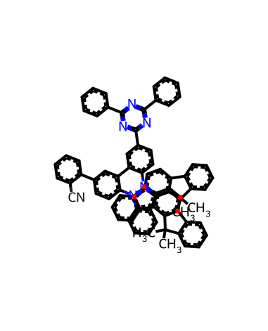 CC1(C)c2ccccc2-c2ccc3c(c21)c1ccccc1n3-c1ccc(-c2nc(-c3ccccc3)nc(-c3ccccc3)n2)cc1-c1cc(-c2ccccc2C#N)ccc1-n1c2ccccc2c2c3c(ccc21)-c1ccccc1C3(C)C